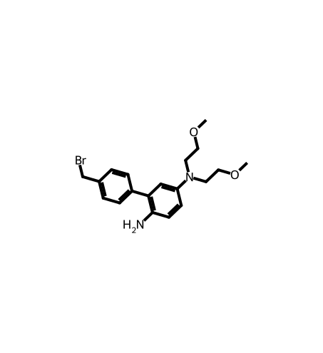 COCCN(CCOC)c1ccc(N)c(-c2ccc(CBr)cc2)c1